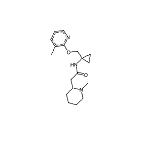 Cc1cccnc1OCC1(NC(=O)CC2CCCCN2C)CC1